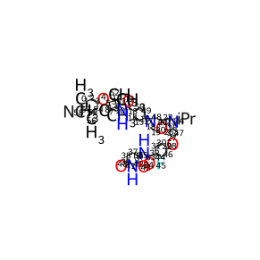 Cc1cc(O[C@H]2C(C)(C)[C@H](NC(=O)c3ccc(N4CCO[C@H](CN(C(C)C)[C@H]5C[C@@H](Oc6ccc(C(=O)N[C@H]7CCC(=O)NC7=O)c(F)c6)C5)C4)cc3)C2(C)C)cc(C)c1C#N